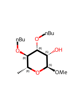 CCCCO[C@@H]1[C@H](O)[C@@H](OC)O[C@H](C)[C@H]1OCCCC